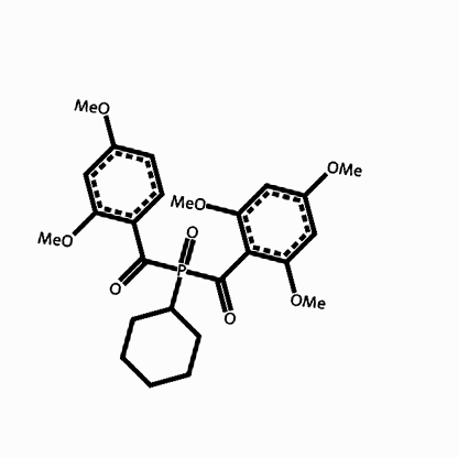 COc1ccc(C(=O)P(=O)(C(=O)c2c(OC)cc(OC)cc2OC)C2CCCCC2)c(OC)c1